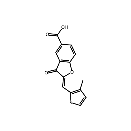 Cc1ccsc1C=C1Oc2ccc(C(=O)O)cc2C1=O